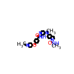 CCN1CCC(Oc2ccc(C(=O)Nc3cc(N(C)c4ccc5c(ccn5C(=O)NC)c4)ccn3)cc2)CC1